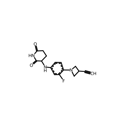 C#CC1CN(c2ccc(NC3CCC(=O)NC3=O)cc2F)C1